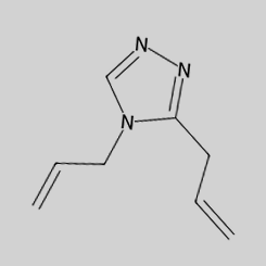 C=CCc1nncn1CC=C